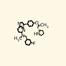 C[C@H](C[C@@H]1CCCN1)Oc1ccc(-c2cnc3ccc(N(C)Cc4cccc(F)c4)nn23)cc1